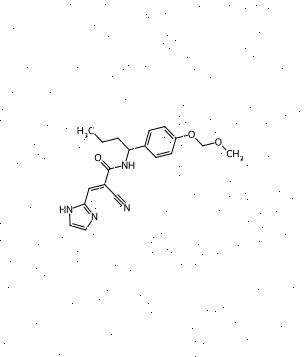 CCCC(NC(=O)C(C#N)=Cc1ncc[nH]1)c1ccc(OCOC)cc1